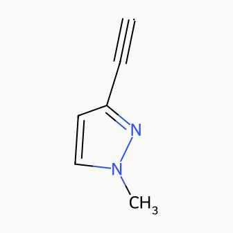 [C]#Cc1ccn(C)n1